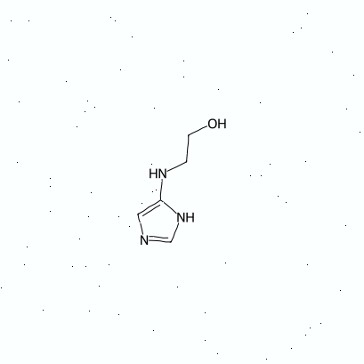 OCCNc1cnc[nH]1